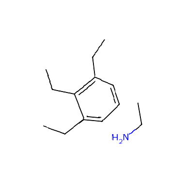 CCN.CCc1cccc(CC)c1CC